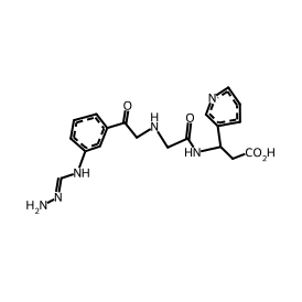 NN=CNc1cccc(C(=O)CNCC(=O)NC(CC(=O)O)c2cccnc2)c1